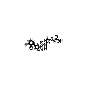 CN(C(=O)Nc1ncc(SCC(=O)O)s1)C1CCC(c2cccc(F)c2Cl)C1